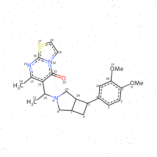 COc1ccc(C2CC3CN(C(C)c4c(C)nc5sccn5c4=O)CC32)cc1OC